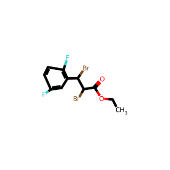 CCOC(=O)C(Br)C(Br)c1cc(F)ccc1F